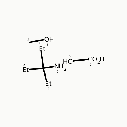 CCC(N)(CC)CC.CO.O=C(O)O